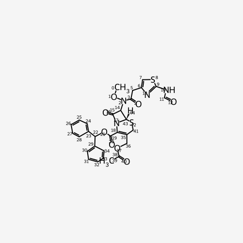 CON(C(=O)Cc1csc(NC=O)n1)C1C(=O)N2C(C(=O)OC(c3ccccc3)c3ccccc3)=C(COC(C)=O)CS[C@@H]12